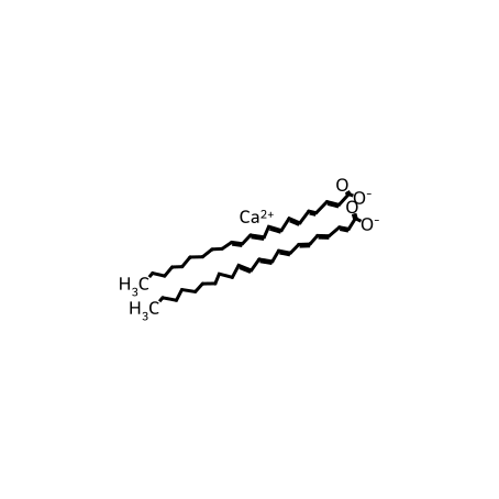 CCCCCCCCCC=CC=CC=CC=CC=CC=CC(=O)[O-].CCCCCCCCCC=CC=CC=CC=CC=CC=CC(=O)[O-].[Ca+2]